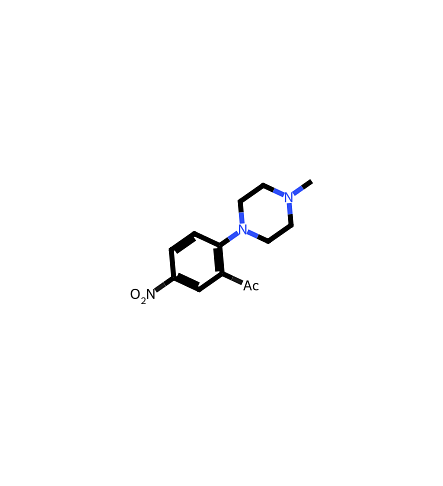 CC(=O)c1cc([N+](=O)[O-])ccc1N1CCN(C)CC1